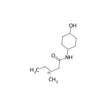 CC[C@@H](C)[CH]C(=O)NC1CCC(O)CC1